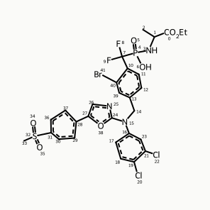 CCOC(=O)C(C)NP(=O)(O)C(F)(F)c1ccc(CN(c2ccc(Cl)c(Cl)c2)c2ncc(-c3ccc(S(C)(=O)=O)cc3)o2)cc1Br